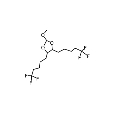 COC1OC(CCCCC(F)(F)F)C(CCCCC(F)(F)F)O1